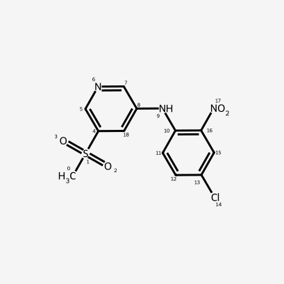 CS(=O)(=O)c1cncc(Nc2ccc(Cl)cc2[N+](=O)[O-])c1